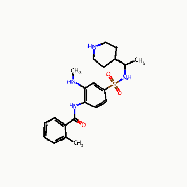 CNc1cc(S(=O)(=O)NC(C)C2CCNCC2)ccc1NC(=O)c1ccccc1C